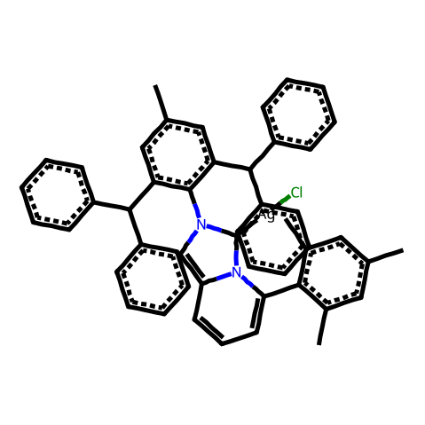 Cc1cc(C)c(C2=CC=CC3=CN(c4c(C(c5ccccc5)c5ccccc5)cc(C)cc4C(c4ccccc4)c4ccccc4)[CH]([Ag][Cl])N32)c(C)c1